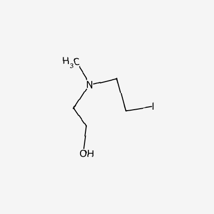 CN(CCO)CCI